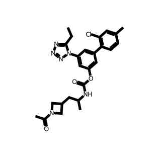 CCc1nnnn1-c1cc(OC(=O)NC(C)CC2CN(C(C)=O)C2)cc(-c2ccc(C)cc2Cl)c1